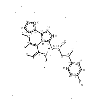 C/C=C(OC)\C(=C(/C)OC)n1c(N[S+]([O-])CC(C)c2ncc(F)cn2)nnc1-c1ccco1